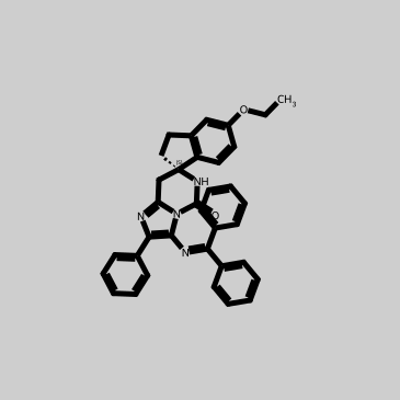 CCOc1ccc2c(c1)CC[C@]21Cc2nc(-c3ccccc3)c(N=C(c3ccccc3)c3ccccc3)n2C(=O)N1